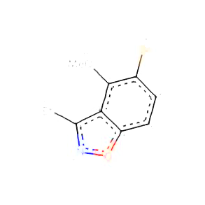 CCc1noc2ccc(Br)c(OC)c12